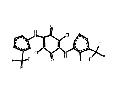 Cc1c(NC2=C(Cl)C(=O)C(Nc3cccc(C(F)(F)F)c3)=C(Cl)C2=O)cccc1C(F)(F)F